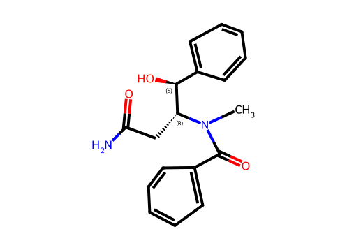 CN(C(=O)c1ccccc1)[C@H](CC(N)=O)[C@@H](O)c1ccccc1